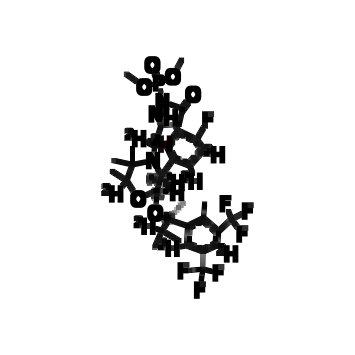 [2H]c1c([2H])c([C@]2([2H])N(C([2H])([2H])C3=NN(P(=O)(OC)OC)C(=O)C3)C(C)(C)C([2H])(C)O[C@]2([2H])O[C@@](C)(c2c([2H])c(C(F)(F)F)c([2H])c(C(F)(F)F)c2C)C([2H])(C)C)c(C)c([2H])c1F